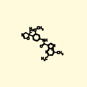 COc1cc(NC(=O)c2cnn3c(C)cc(C)nc23)ccc1C1(C)CN=CO1